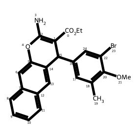 CCOC(=O)C1=C(N)Oc2cc3ccccc3cc2C1c1cc(C)c(OC)c(Br)c1